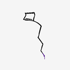 ICCCCC1=CCC1